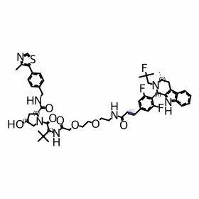 Cc1ncsc1-c1ccc(CNC(=O)[C@@H]2C[C@@H](O)CN2C(=O)[C@@H](NC(=O)COCCOCCNC(=O)/C=C/c2cc(F)c([C@@H]3c4[nH]c5ccccc5c4C[C@@H](C)N3CC(C)(C)F)c(F)c2)C(C)(C)C)cc1